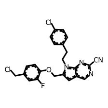 N#Cc1ncc2cc(COc3ccc(CCl)cc3F)n(CCc3ccc(Cl)cc3)c2n1